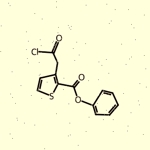 O=C(Cl)Cc1ccsc1C(=O)Oc1ccccc1